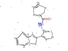 O=C(NC1=CCC=C1C1=Cc2ccccc2C1)C1=CC=CC1